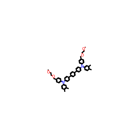 COCCOCc1ccc(N(c2ccc(-c3ccc(-c4ccc(N(c5ccc(COCCOC)cc5)c5ccc(C)c(C)c5)cc4)cc3)cc2)c2ccc(C)c(C)c2)cc1